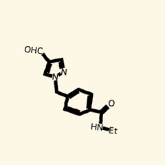 CCNC(=O)c1ccc(Cn2cc(C=O)cn2)cc1